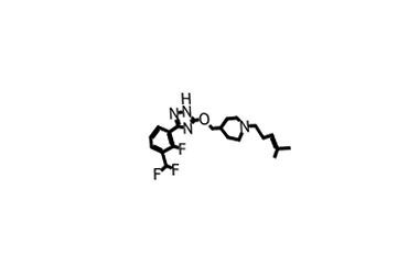 CC(C)=CCCN1CCC(COc2nc(-c3cccc(C(F)F)c3F)n[nH]2)CC1